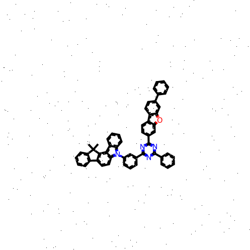 CC1(C)c2ccccc2-c2ccc3c(c21)c1ccccc1n3-c1cccc(-c2nc(-c3ccccc3)nc(-c3ccc4c(c3)oc3cc(-c5ccccc5)ccc34)n2)c1